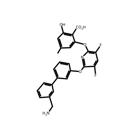 Cc1cc(O)c(C(=O)O)c(Oc2nc(Oc3cccc(-c4cccc(CN)c4)c3)c(F)cc2F)c1